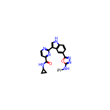 CC(C)Nc1nnc(-c2ccc3[nH]cc(-c4nccc(C(=O)NC5CC5)n4)c3c2)o1